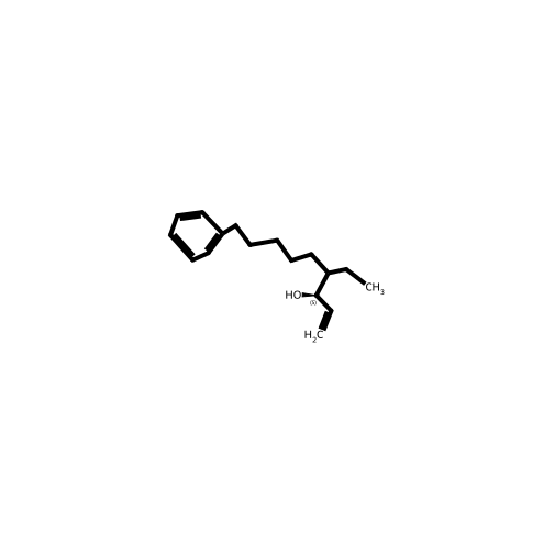 C=C[C@@H](O)C(CC)CCCCCc1ccccc1